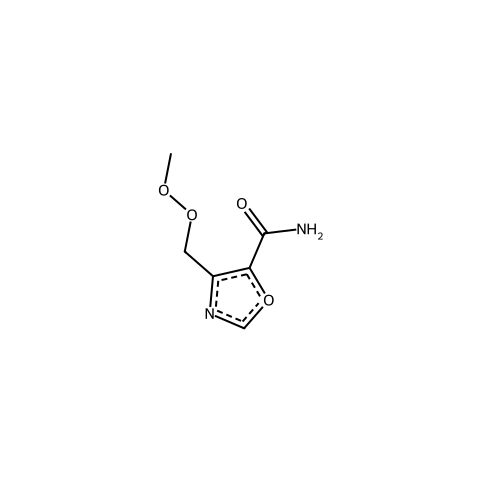 COOCc1ncoc1C(N)=O